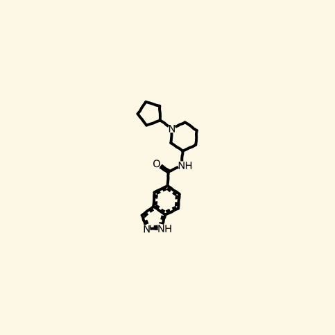 O=C(NC1CCCN(C2CCCC2)C1)c1ccc2[nH]ncc2c1